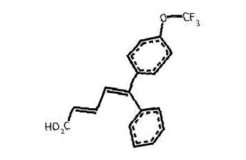 O=C(O)/C=C/C=C(\c1ccccc1)c1ccc(OC(F)(F)F)cc1